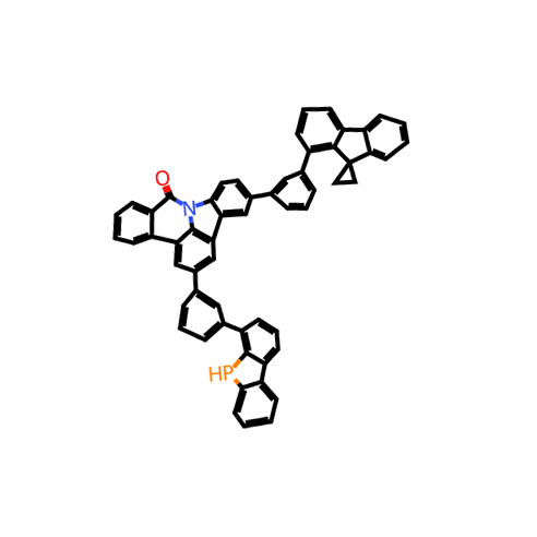 O=c1c2ccccc2c2cc(-c3cccc(-c4cccc5c4[pH]c4ccccc45)c3)cc3c4cc(-c5cccc(-c6cccc7c6C6(CC6)c6ccccc6-7)c5)ccc4n1c23